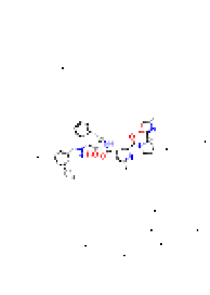 Cc1cc(C(=O)N[C@@H](Cc2ccccc2)[C@H](O)CNCc2cccc(C(F)(F)F)c2)cc(C(=O)N2CCC[C@@H]2c2nc(C)co2)n1